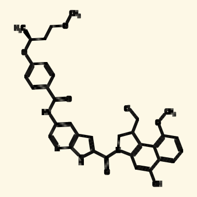 COCC[C@H](C)Oc1ccc(C(=O)Nc2cnc3[nH]c(C(=O)N4CC(CCl)c5c4cc(O)c4cccc(OC)c54)cc3c2)cc1